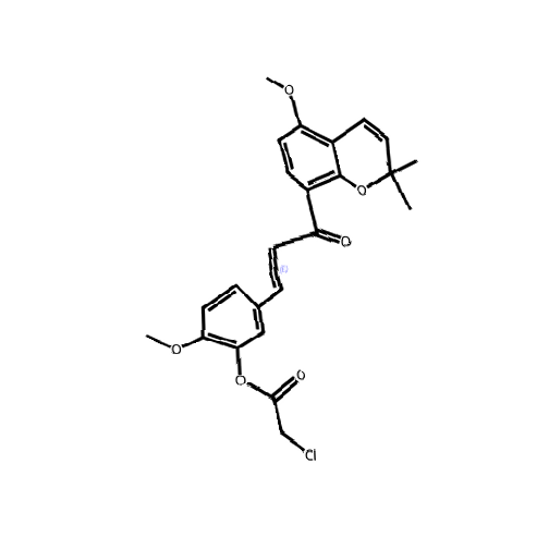 COc1ccc(/C=C/C(=O)c2ccc(OC)c3c2OC(C)(C)C=C3)cc1OC(=O)CCl